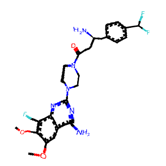 COc1cc2c(N)nc(N3CCN(C(=O)C[C@@H](N)c4ccc(C(F)F)cc4)CC3)nc2c(F)c1OC